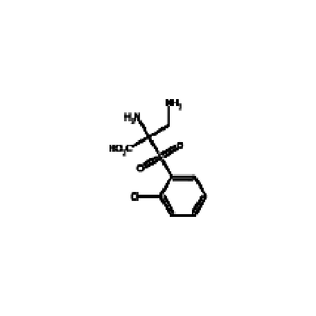 NCC(N)(C(=O)O)S(=O)(=O)c1ccccc1Cl